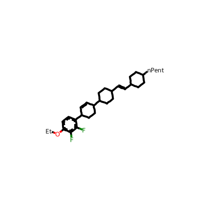 CCCCCC1CCC(/C=C/C2CCC(C3C=CC(c4ccc(OCC)c(F)c4F)CC3)CC2)CC1